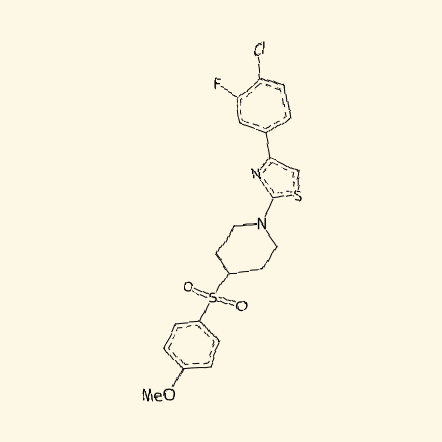 COc1ccc(S(=O)(=O)C2CCN(c3nc(-c4ccc(Cl)c(F)c4)cs3)CC2)cc1